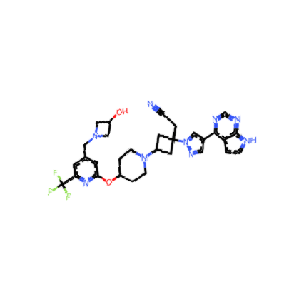 N#CCC1(n2cc(-c3ncnc4[nH]ccc34)cn2)CC(N2CCC(Oc3cc(CN4CC(O)C4)cc(C(F)(F)F)n3)CC2)C1